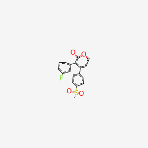 CS(=O)(=O)c1ccc(-c2ccoc(=O)c2-c2cccc(F)c2)cc1